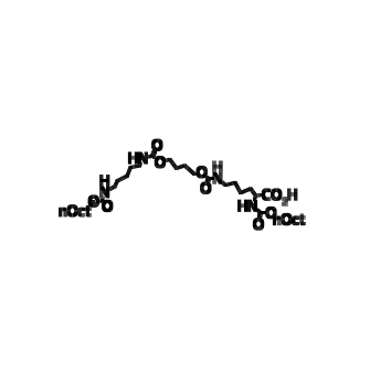 CCCCCCCCOC(=O)NCCCCCNC(=O)OCCCCOC(=O)NCCCCC(NC(=O)OCCCCCCCC)C(=O)O